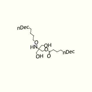 CCCCCCCCCCCCCCONC(CO)(CO)COC(=O)CCCCCCCCCCCCC